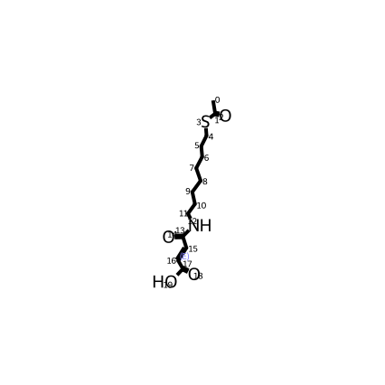 CC(=O)SCCCCCCCCNC(=O)/C=C/C(=O)O